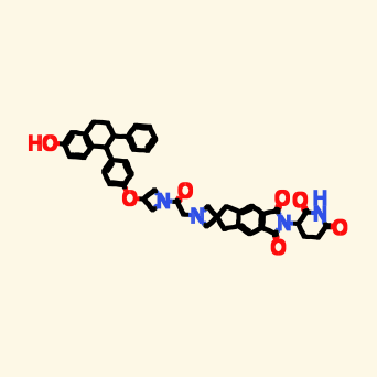 O=C1CCC(N2C(=O)c3cc4c(cc3C2=O)CC2(C4)CN(CC(=O)N3CC(Oc4ccc(C5c6ccc(O)cc6CCC5c5ccccc5)cc4)C3)C2)C(=O)N1